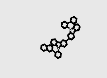 c1ccc(-c2ccccc2-n2c3ccccc3c3ccc(-c4ccc5c(c4)c4ccccc4n5-c4ccccc4-c4ccc5ccccc5c4)cc32)cc1